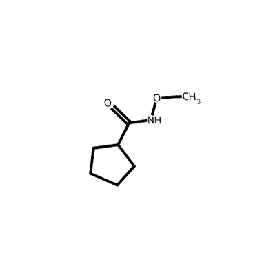 CONC(=O)C1CCCC1